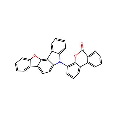 O=c1oc2c(-n3c4ccccc4c4c5oc6ccccc6c5ccc43)cccc2c2ccccc12